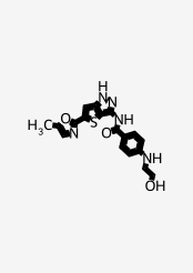 Cc1cnc(-c2cc3[nH]nc(NC(=O)c4ccc(NCCO)cc4)c3s2)o1